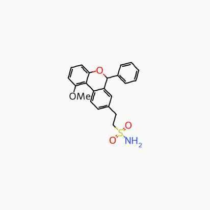 COc1cccc2c1-c1ccc(CCS(N)(=O)=O)cc1C(c1ccccc1)O2